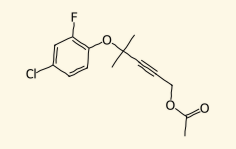 CC(=O)OCC#CC(C)(C)Oc1ccc(Cl)cc1F